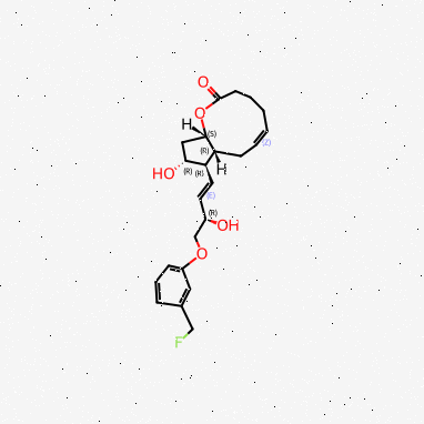 O=C1CCC/C=C\C[C@@H]2[C@@H](/C=C/[C@@H](O)COc3cccc(CF)c3)[C@H](O)C[C@@H]2O1